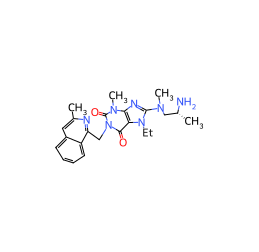 CCn1c(N(C)C[C@@H](C)N)nc2c1c(=O)n(Cc1nc(C)cc3ccccc13)c(=O)n2C